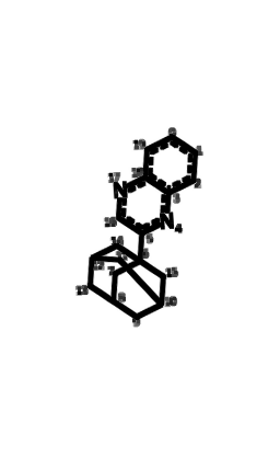 c1ccc2nc(C34CC5CC(CC(C5)C3)C4)cnc2c1